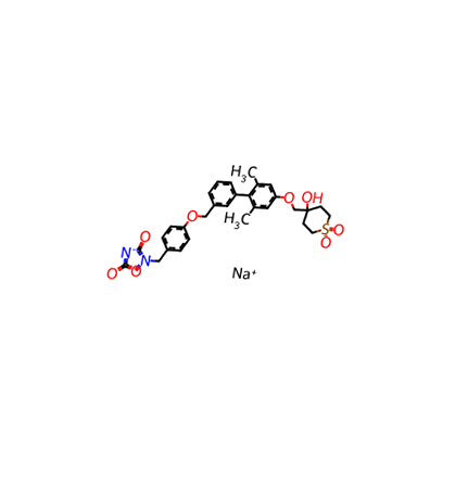 Cc1cc(OCC2(O)CCS(=O)(=O)CC2)cc(C)c1-c1cccc(COc2ccc(Cn3oc(=O)[n-]c3=O)cc2)c1.[Na+]